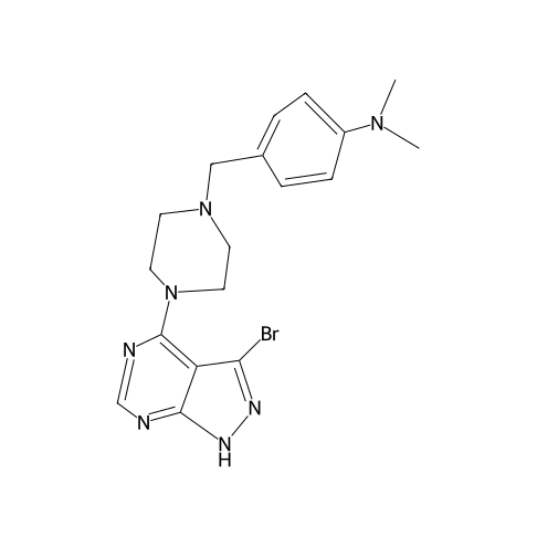 CN(C)c1ccc(CN2CCN(c3ncnc4[nH]nc(Br)c34)CC2)cc1